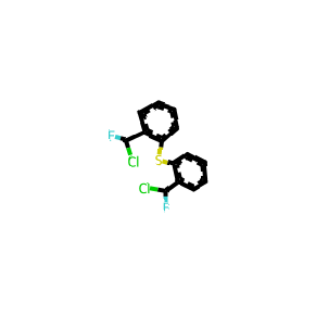 FC(Cl)c1ccccc1Sc1ccccc1C(F)Cl